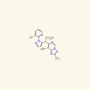 CCCc1c(C(C(=O)OCC)c2ccnn2-c2ncccc2Br)ncn2nc(C(F)(F)F)nc12